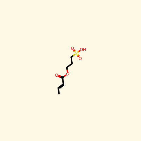 CC=CC(=O)OCCCS(=O)(=O)O